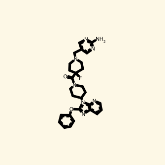 Nc1ncc(CN2CCC(F)(C(=O)N3CCC(n4c(Oc5ccccc5)nc5cccnc54)CC3)CC2)cn1